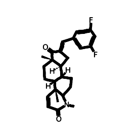 CN1C(=O)C=C[C@@]2(C)C1CC[C@@H]1[C@H]2CC[C@]2(C)C(=O)C(=Cc3cc(F)cc(F)c3)C[C@@H]12